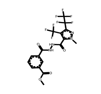 COC(=O)c1cccc(C(=O)NNC(=O)c2c(C(F)(F)F)c(C(F)(F)C(F)(F)F)nn2C)c1